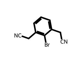 N#CCc1cccc(CC#N)c1Br